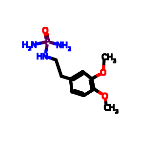 COc1ccc(CCNP(N)(N)=O)cc1OC